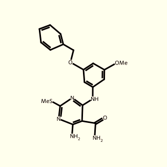 COc1cc(Nc2nc(SC)nc(N)c2C(N)=O)cc(OCc2ccccc2)c1